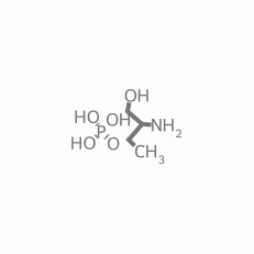 CCC(N)CO.O=P(O)(O)O